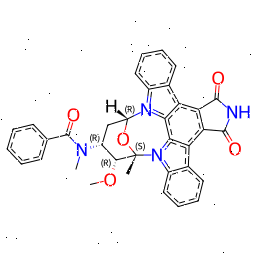 CO[C@@H]1[C@H](N(C)C(=O)c2ccccc2)C[C@H]2O[C@]1(C)n1c3ccccc3c3c4c(c5c6ccccc6n2c5c31)C(=O)NC4=O